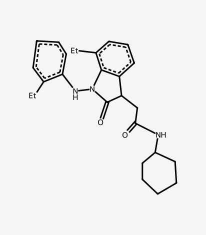 CCc1ccccc1NN1C(=O)C(CC(=O)NC2CCCCC2)c2cccc(CC)c21